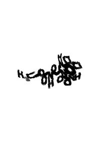 CCOC(=O)CNC(=O)CC1CNc2c(Cl)c(Cl)cc3[nH]c(=O)c(=O)n1c23